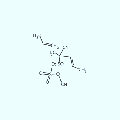 C=CC.CC=CC(C)(C#N)S(=O)(=O)O.CCS(=O)(=O)OC#N